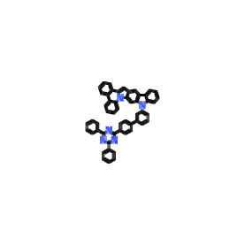 c1ccc(-c2nc(-c3ccccc3)nc(-c3ccc(-c4cccc(-n5c6ccccc6c6cc7cc8c9ccccc9c9ccccc9n8c7cc65)c4)cc3)n2)cc1